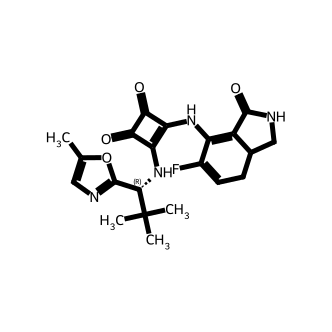 Cc1cnc([C@H](Nc2c(NC3=C4C(=O)NCC4CC=C3F)c(=O)c2=O)C(C)(C)C)o1